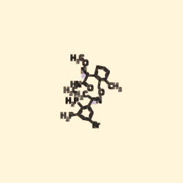 CNC(=O)/C(=N/OC)c1cccc(C)c1CO/N=C(\C)c1cc(Br)cc(P)c1P